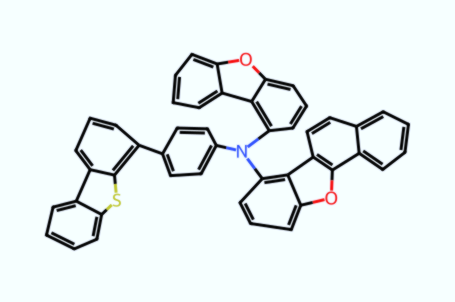 c1ccc2c(c1)ccc1c2oc2cccc(N(c3ccc(-c4cccc5c4sc4ccccc45)cc3)c3cccc4oc5ccccc5c34)c21